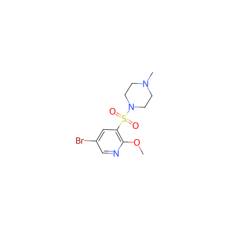 COc1ncc(Br)cc1S(=O)(=O)N1CCN(C)CC1